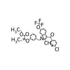 CCOC(=O)[C@@H](CC)Oc1cccc(Cn2c(C)c(C(=O)c3ccc(Cl)cc3)c3ccc(OC(F)(F)F)cc32)c1